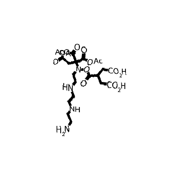 CC(=O)OC(=O)CC(C(=O)OC(C)=O)(C(=O)OC(C)=O)N(CCNCCNCCN)OC(=O)C(CC(=O)O)CC(=O)O